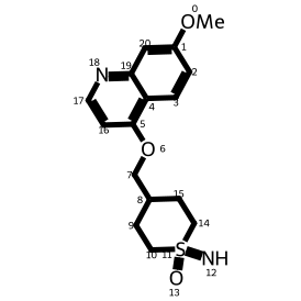 COc1ccc2c(OCC3CCS(=N)(=O)CC3)ccnc2c1